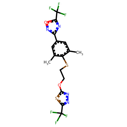 Cc1cc(-c2noc(C(F)(F)F)n2)cc(C)c1SCCOc1nnc(C(F)(F)F)s1